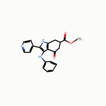 COC(=O)C1CC(=O)c2c([nH]c(-c3ccncc3)c2Nc2ccccc2)C1